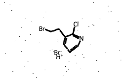 Clc1ncccc1CCBr.[Br-].[H+]